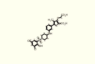 Cc1c(-c2cccc(NC3CCN(S(=O)(=O)c4cc(Cl)cc(Cl)c4O)CC3)c2)sc(C(=O)O)c1OCC(=O)O